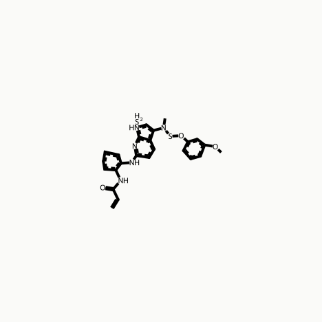 C=CC(=O)Nc1ccccc1Nc1ccc2c(N(C)SOc3cccc(OC)c3)c[nH]c2n1.S